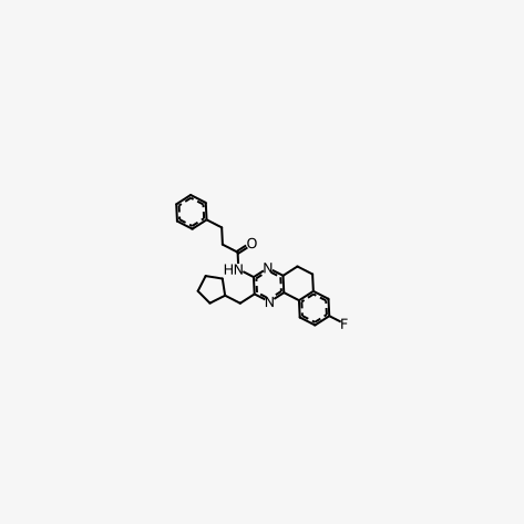 O=C(CCc1ccccc1)Nc1nc2c(nc1CC1CCCC1)-c1ccc(F)cc1CC2